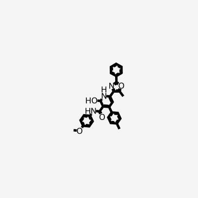 COc1ccc(NC(=O)C2=C(c3ccc(C)cc3)C=C(c3nc(-c4ccccc4)oc3C)NC2O)cc1